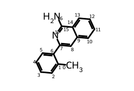 Cc1ccccc1-c1cc2ccccc2c(N)n1